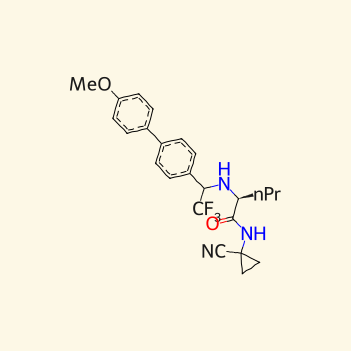 CCC[C@H](NC(c1ccc(-c2ccc(OC)cc2)cc1)C(F)(F)F)C(=O)NC1(C#N)CC1